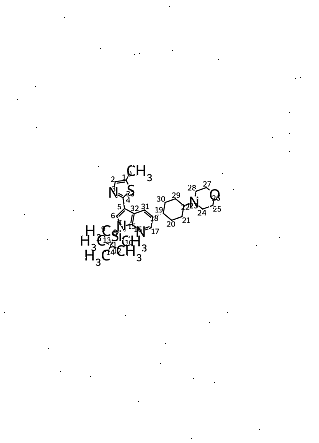 Cc1cnc(-c2cn([Si](C)(C)C(C)(C)C)c3ncc([C@H]4CC[C@H](N5CCOCC5)CC4)cc23)s1